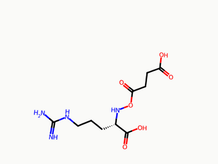 N=C(N)NCCC[C@H](NOC(=O)CCC(=O)O)C(=O)O